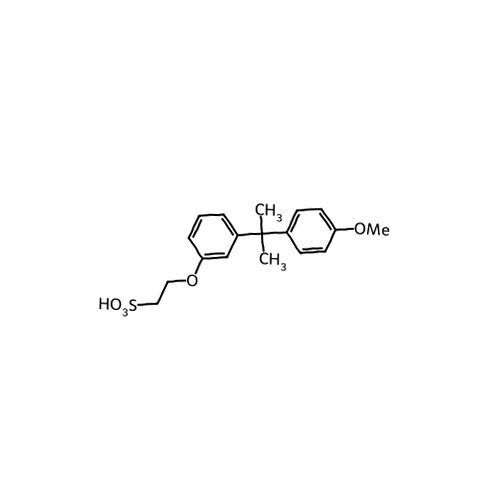 COc1ccc(C(C)(C)c2cccc(OCCS(=O)(=O)O)c2)cc1